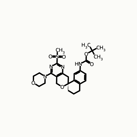 CC(C)(C)OC(=O)Nc1ccc2c(c1)[C@]1(CCC2)Cc2nc(S(C)(=O)=O)nc(N3CCOCC3)c2CO1